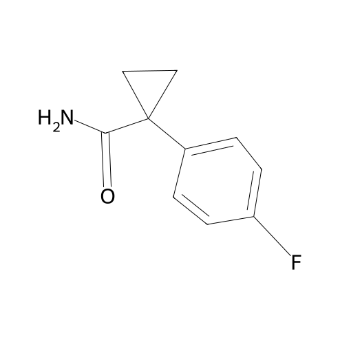 NC(=O)C1(c2ccc(F)cc2)CC1